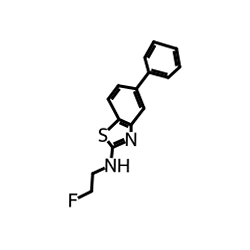 FCCNc1nc2cc(-c3ccccc3)ccc2s1